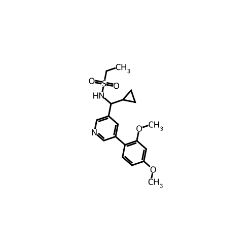 CCS(=O)(=O)NC(c1cncc(-c2ccc(OC)cc2OC)c1)C1CC1